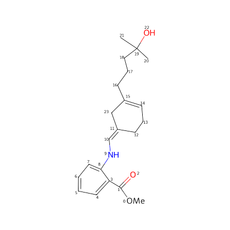 COC(=O)c1ccccc1NC=C1CCC=C(CCCC(C)(C)O)C1